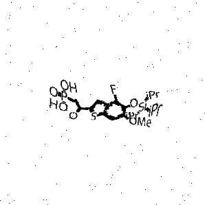 COc1cc2sc(C(=O)CP(=O)(O)O)cc2c(F)c1O[Si](C(C)C)(C(C)C)C(C)C